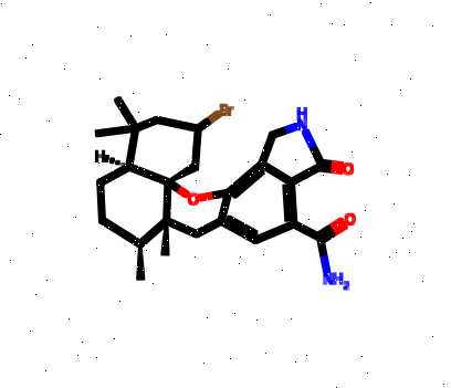 C[C@H]1CC[C@H]2C(C)(C)CC(Br)C[C@]23Oc2c(cc(C(N)=O)c4c2CNC4=O)C[C@]13C